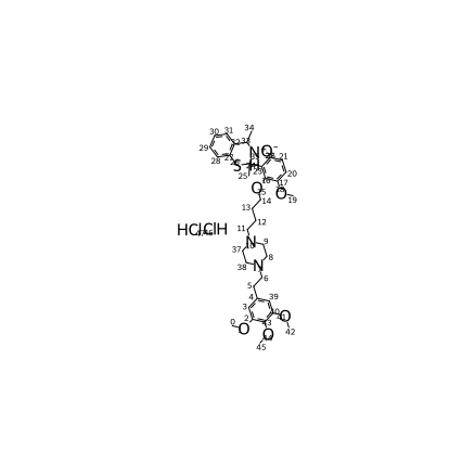 COc1cc(CCN2CCN(CCCCOc3c(OC)cccc3C3(C)Sc4ccccc4C(C)[NH+]3[O-])CC2)cc(OC)c1OC.Cl.Cl